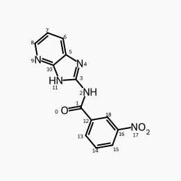 O=C(Nc1nc2cccnc2[nH]1)c1cccc([N+](=O)[O-])c1